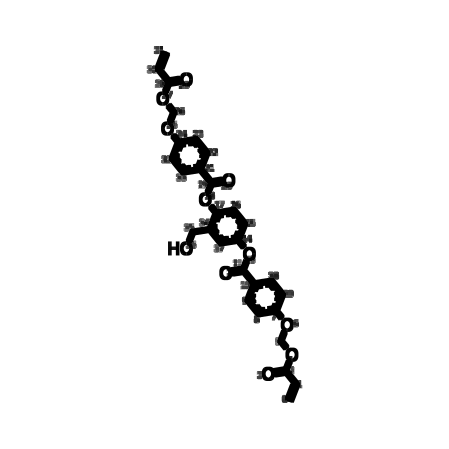 C=CC(=O)OCOc1ccc(C(=O)Oc2ccc(OC(=O)c3ccc(OCOC(=O)C=C)cc3)c(CO)c2)cc1